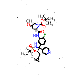 CO[C@@H]1C[C@H](C(=O)Nc2cc([C@@](CCC3CC3)(NS(=O)(=O)C(C)(C)C)c3ccncc3)ccc2F)N(C(=O)OC(C)(C)C)C1